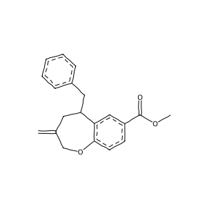 C=C1COc2ccc(C(=O)OC)cc2C(Cc2ccccc2)C1